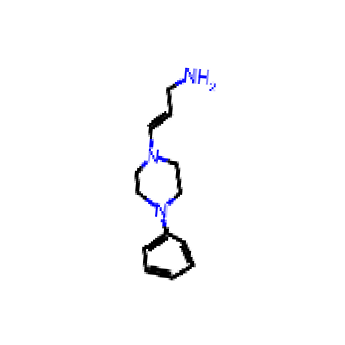 NCC=CN1CCN(c2ccccc2)CC1